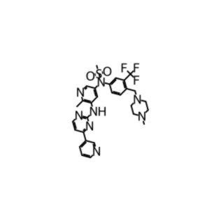 Cc1ncc(N(c2ccc(CN3CCN(C)CC3)c(C(F)(F)F)c2)S(C)(=O)=O)cc1Nc1nccc(-c2cccnc2)n1